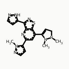 CN1CC=C(c2cc(-c3ccnn3C)nc3c(-c4ccn[nH]4)nsc23)N1C